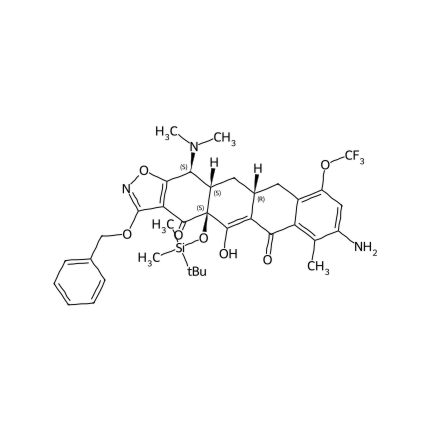 Cc1c(N)cc(OC(F)(F)F)c2c1C(=O)C1=C(O)[C@]3(O[Si](C)(C)C(C)(C)C)C(=O)c4c(OCc5ccccc5)noc4[C@@H](N(C)C)[C@@H]3C[C@@H]1C2